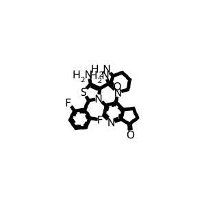 NC(=O)C1=C(N)SC(c2c(F)cccc2F)N1c1cnc2c(c1N1CCCC(N)C1)CCC2=O